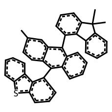 Cc1ccc2c(-c3cccc4sc5ccccc5c34)c3ccccc3c(-c3cccc4c3-c3ccccc3C4(C)C)c2c1